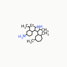 C=CC1CC(N)CCC1C1C(CC)NC(C)C1C1CC(C)CCCC1C